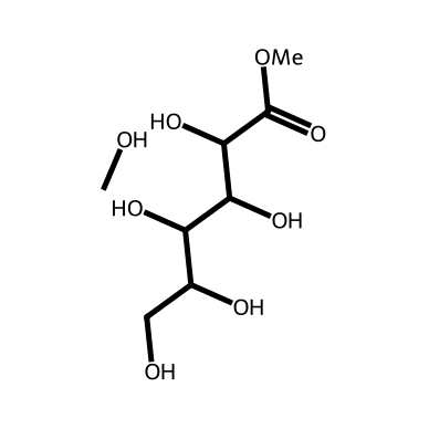 CO.COC(=O)C(O)C(O)C(O)C(O)CO